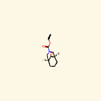 C=COC(=O)N1C[C@H]2CCC[C@@H](C1)C2O